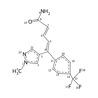 Cn1cc(C(=CC=CC(N)=O)c2ccc(C(F)(F)F)cc2)cn1